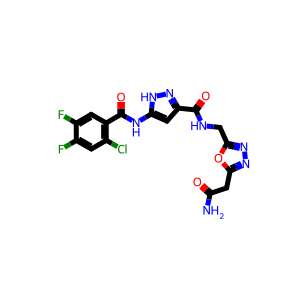 NC(=O)Cc1nnc(CNC(=O)c2cc(NC(=O)c3cc(F)c(F)cc3Cl)[nH]n2)o1